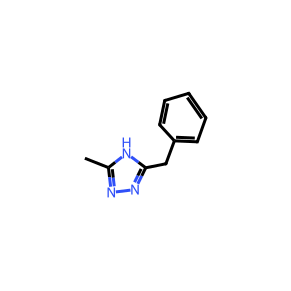 Cc1nnc(Cc2ccccc2)[nH]1